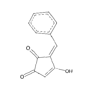 O=C1C=C(O)C(=Cc2ccccc2)C1=O